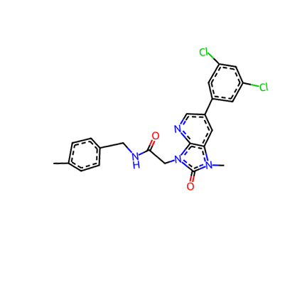 Cc1ccc(CNC(=O)Cn2c(=O)n(C)c3cc(-c4cc(Cl)cc(Cl)c4)cnc32)cc1